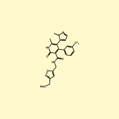 COCc1cc(CNC(=O)c2c(-c3cccc(C(F)(F)F)c3)c(-c3ccnn3C)c(C)[nH]c2=O)on1